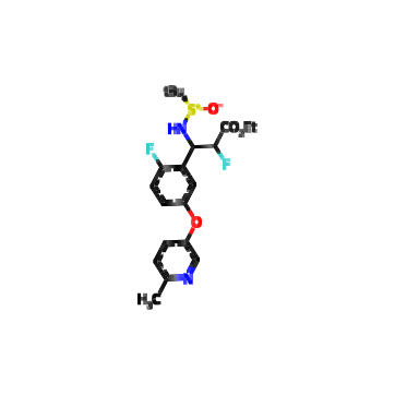 CCOC(=O)C(F)C(N[S@+]([O-])C(C)(C)C)c1cc(Oc2ccc(C)nc2)ccc1F